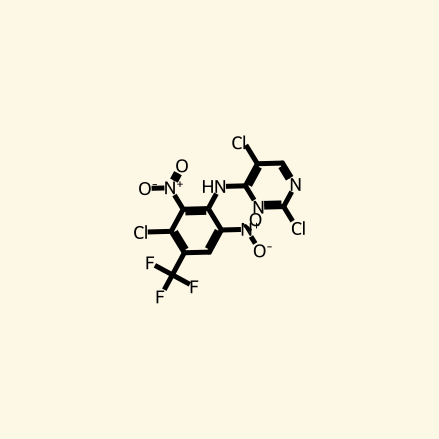 O=[N+]([O-])c1cc(C(F)(F)F)c(Cl)c([N+](=O)[O-])c1Nc1nc(Cl)ncc1Cl